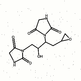 O=C1CNC(=O)N1CC(O)C(CC1CO1)N1C(=O)CNC1=O